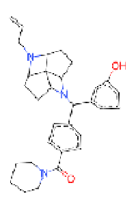 C=CCN1C2CCC3N(C(c4ccc(C(=O)N5CCCCC5)cc4)c4cccc(O)c4)C4CCC1C234